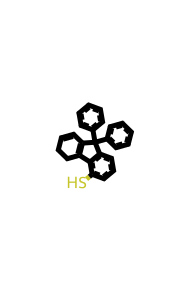 Sc1cccc2c1C1=C(C=CCC1)C2(c1ccccc1)c1ccccc1